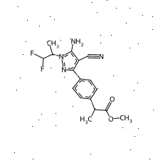 COC(=O)C(C)c1ccc(-c2nn(C(C)C(F)F)c(N)c2C#N)cc1